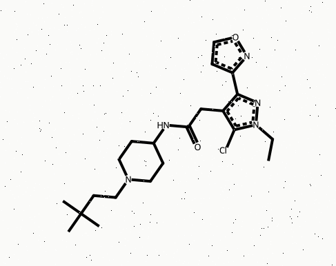 CCn1nc(-c2ccon2)c(CC(=O)NC2CCN(CCC(C)(C)C)CC2)c1Cl